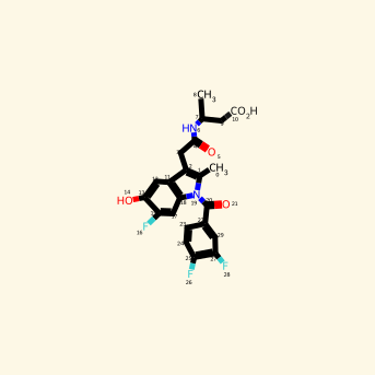 Cc1c(CC(=O)NC(C)CC(=O)O)c2cc(O)c(F)cc2n1C(=O)c1ccc(F)c(F)c1